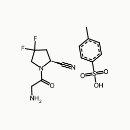 Cc1ccc(S(=O)(=O)O)cc1.N#C[C@@H]1CC(F)(F)CN1C(=O)CN